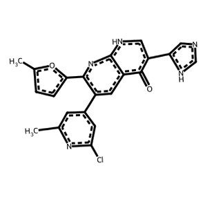 Cc1cc(-c2cc3c(=O)c(-c4cnc[nH]4)c[nH]c3nc2-c2ccc(C)o2)cc(Cl)n1